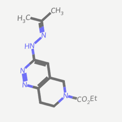 CCOC(=O)N1CCc2nnc(NN=C(C)C)cc2C1